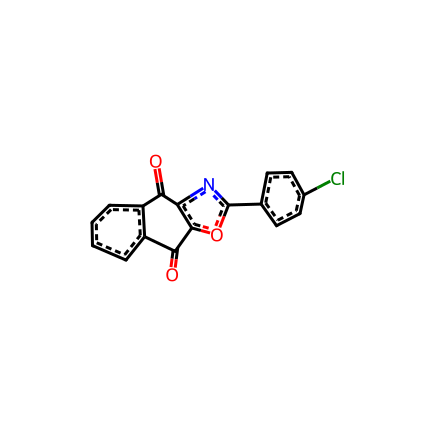 O=C1c2ccccc2C(=O)c2oc(-c3ccc(Cl)cc3)nc21